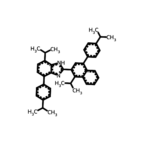 CC(C)c1ccc(-c2cc(-c3nc4c(-c5ccc(C(C)C)cc5)ccc(C(C)C)c4[nH]3)c(C(C)C)c3ccccc23)cc1